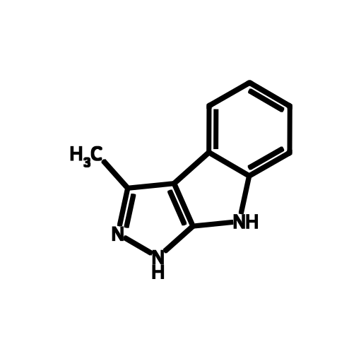 Cc1n[nH]c2[nH]c3ccccc3c12